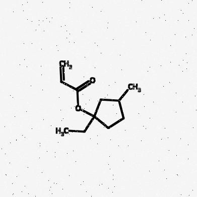 C=CC(=O)OC1(CC)CCC(C)C1